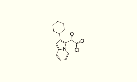 O=C(Cl)C(=O)c1c(C2CCCCC2)cc2ccccn12